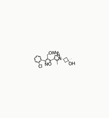 COCc1c(-c2ccccc2Cl)noc1-c1cnn([C@H]2C[C@](C)(O)C2)c1C